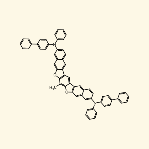 Cc1c2oc3cc4cc(N(c5ccccc5)c5ccc(-c6ccccc6)cc5)ccc4cc3c2cc2c1oc1cc3cc(N(c4ccccc4)c4ccc(-c5ccccc5)cc4)ccc3cc12